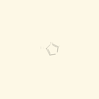 [LiH].c1cscn1